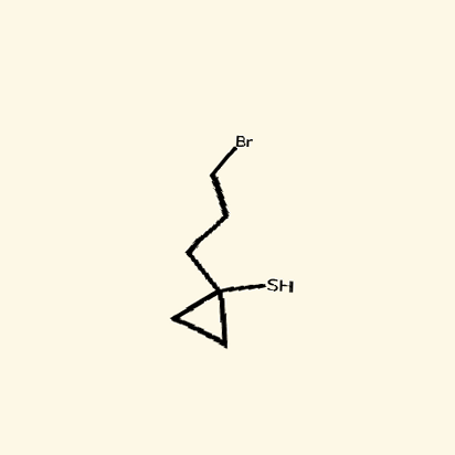 SC1(CCCBr)CC1